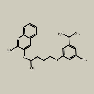 Cc1cc(OCCCC(C)Oc2cc3ccccc3nc2N)cc(C(C)C)c1